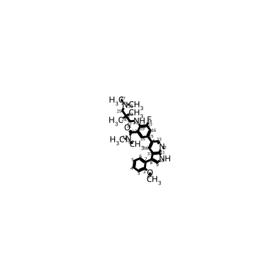 COc1ccccc1-c1c[nH]c2ncc(-c3cc(F)c(NCC(C)(C)CN(C)C)c(C(=O)N(C)C)c3)cc12